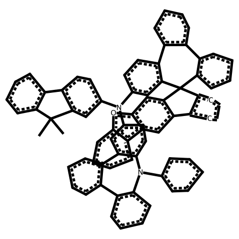 CC1(C)c2ccccc2-c2ccc(N(c3ccc4c(c3)-c3ccccc3-c3ccccc3N4c3ccccc3)c3ccc4c(c3)C3(c5ccccc5-c5ccccc5-4)c4ccccc4-c4cc5c(cc43)oc3ccccc35)cc21